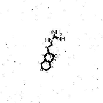 Cl.N=C(N)NCCc1ccc2c(c1)CCCC2